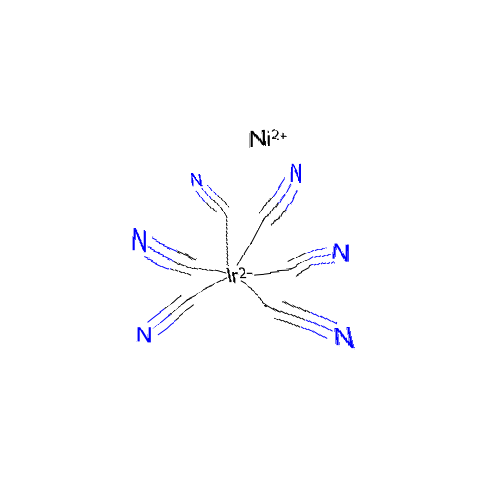 N#[C][Ir-2]([C]#N)([C]#N)([C]#N)([C]#N)[C]#N.[Ni+2]